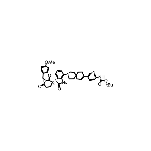 COc1ccc(CN2C(=O)CC[C@@H](n3c(=O)n(C)c4c(N5CCC6(CC=C(c7ccc(NC(=O)OC(C)(C)C)nc7)CC6)CC5)cccc43)C2=O)cc1